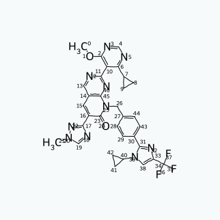 COc1ncnc(C2CC2)c1-c1ncc2cc(-c3ncn(C)n3)c(=O)n(Cc3ccc(-c4nc(C(F)(F)F)cn4C4CC4)cc3)c2n1